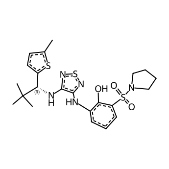 Cc1ccc([C@H](Nc2nsnc2Nc2cccc(S(=O)(=O)N3CCCC3)c2O)C(C)(C)C)s1